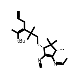 C=CC/C(=C(\C)C(C)(C)C)C(C)(C)CC[C@H]1C(N=C)=C(/N=C\C)[C@@H](C)C1(C)C